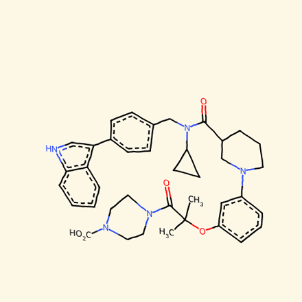 CC(C)(Oc1cccc(N2CCCC(C(=O)N(Cc3ccc(-c4c[nH]c5ccccc45)cc3)C3CC3)C2)c1)C(=O)N1CCN(C(=O)O)CC1